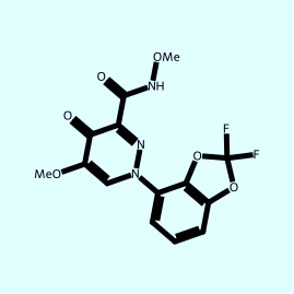 CONC(=O)c1nn(-c2cccc3c2OC(F)(F)O3)cc(OC)c1=O